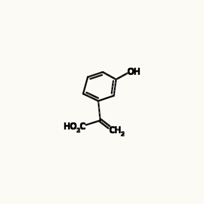 C=C(C(=O)O)c1cccc(O)c1